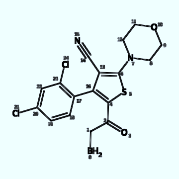 BCC(=O)c1sc(N2CCOCC2)c(C#N)c1-c1ccc(Cl)cc1Cl